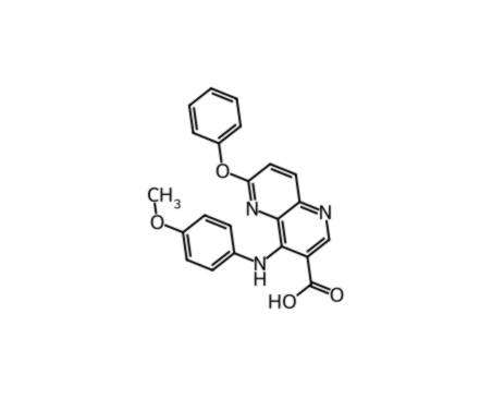 COc1ccc(Nc2c(C(=O)O)cnc3ccc(Oc4ccccc4)nc23)cc1